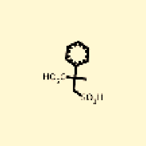 CC(CS(=O)(=O)O)(C(=O)O)c1ccccc1